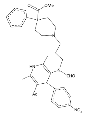 COC(=O)C1(c2ccccc2)CCN(CCCN(C=O)C2=C(C)NC(C)=C(C(C)=O)C2c2ccc([N+](=O)[O-])cc2)CC1